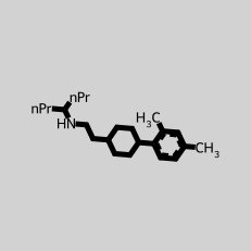 CCCC(CCC)NCCC1CCC(c2ccc(C)cc2C)CC1